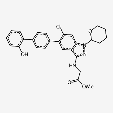 COC(=O)CNc1nn(C2CCCCO2)c2cc(Cl)c(-c3ccc(-c4ccccc4O)cc3)cc12